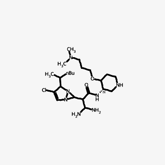 CCCCC(C)C1C(Cl)=CN2C(C(C(=O)N[C@H]3CNCCC3OCCCN(C)C)C(N)N)N12